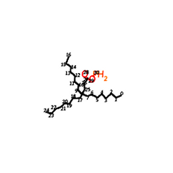 CCCCCCCCC(CCCCCCCC)(CCCCCCCC)CCC(=O)OP